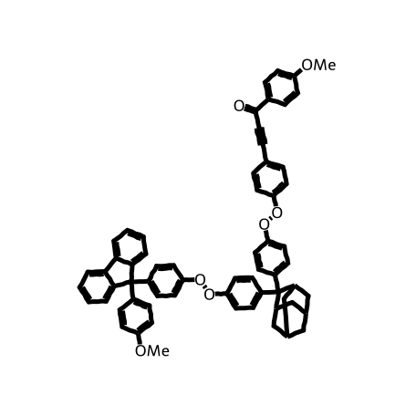 COc1ccc(C(=O)C#Cc2ccc(OOc3ccc(C4(c5ccc(OOc6ccc(C7(c8ccc(OC)cc8)c8ccccc8-c8ccccc87)cc6)cc5)C5CC6CC(C5)CC4C6)cc3)cc2)cc1